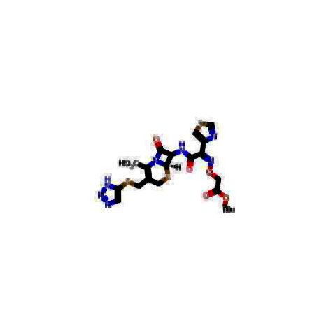 CC(C)(C)OC(=O)CO/N=C(\C(=O)NC1C(=O)N2C(C(=O)O)=C(CSc3cnn[nH]3)CS[C@H]12)c1cscn1